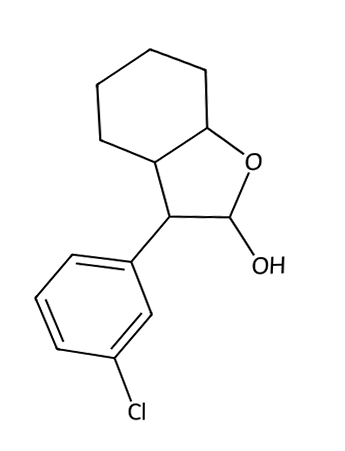 OC1OC2CCCCC2C1c1cccc(Cl)c1